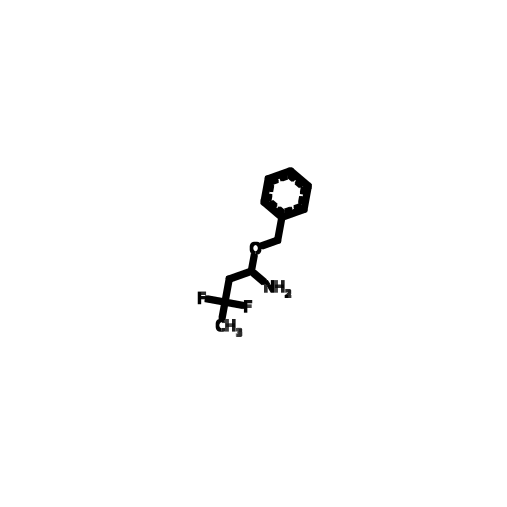 CC(F)(F)CC(N)OCc1ccccc1